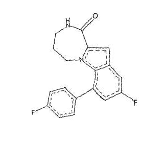 O=C1NCCCn2c1cc1cc(F)cc(-c3ccc(F)cc3)c12